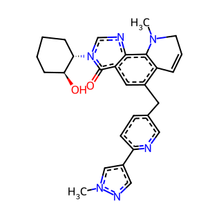 CN1CC=Cc2c(Cc3ccc(-c4cnn(C)c4)nc3)cc3c(=O)n([C@H]4CCCC[C@@H]4O)cnc3c21